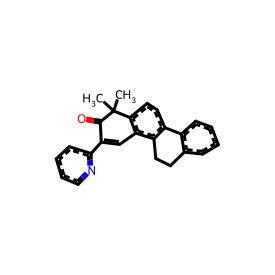 CC1(C)C(=O)C(c2ccccn2)=Cc2c1ccc1c2CCc2ccccc2-1